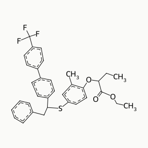 CCOC(=O)C(CC)Oc1ccc(SC(Cc2ccccc2)c2ccc(-c3ccc(C(F)(F)F)cc3)cc2)cc1C